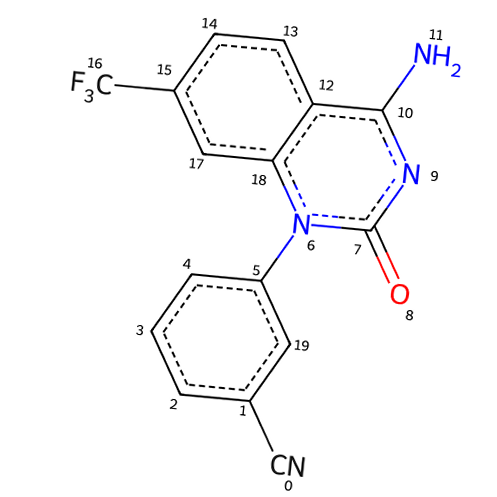 N#Cc1cccc(-n2c(=O)nc(N)c3ccc(C(F)(F)F)cc32)c1